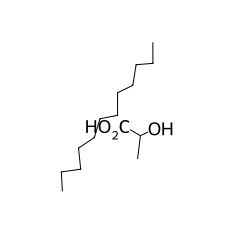 CC(O)C(=O)O.CCCCCCCCCCCC